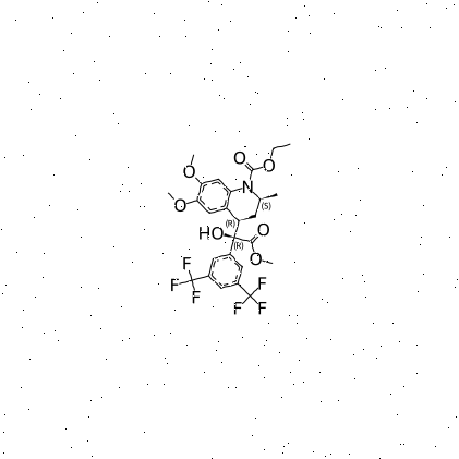 CCOC(=O)N1c2cc(OC)c(OC)cc2[C@H]([C@](O)(C(=O)OC)c2cc(C(F)(F)F)cc(C(F)(F)F)c2)C[C@@H]1C